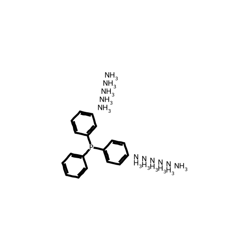 N.N.N.N.N.N.N.N.N.N.N.c1ccc(P(c2ccccc2)c2ccccc2)cc1